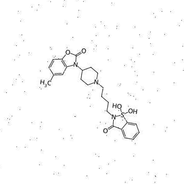 Cc1ccc2oc(=O)n(C3CCN(CCCCN4C(=O)c5ccccc5S4(O)O)CC3)c2c1